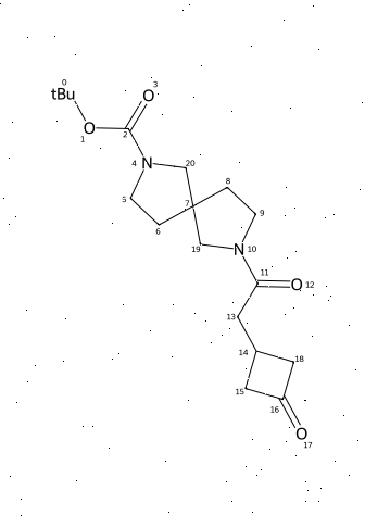 CC(C)(C)OC(=O)N1CCC2(CCN(C(=O)CC3CC(=O)C3)C2)C1